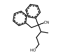 CC(CCO)C(C#N)(Cc1ccccc1)c1ccccc1